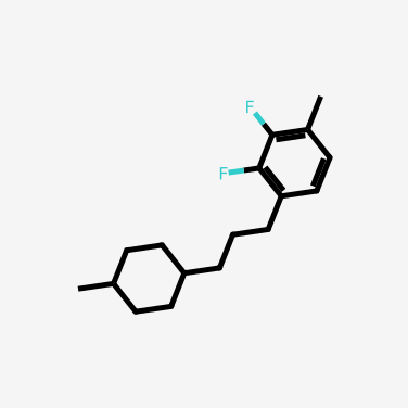 Cc1ccc(CCCC2CCC(C)CC2)c(F)c1F